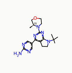 C[C@H]1COCCN1c1nc(-c2cnc(N)nc2)c2c(n1)N(C(C)(C)C)CC2